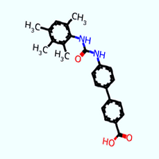 Cc1cc(C)c(NC(=O)Nc2ccc(-c3ccc(C(=O)O)cc3)cc2)c(C)c1C